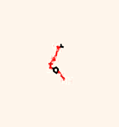 C=C(C)C(=O)OCCOC(=O)OC(C)(C)C(=O)c1ccc(OCCO)cc1